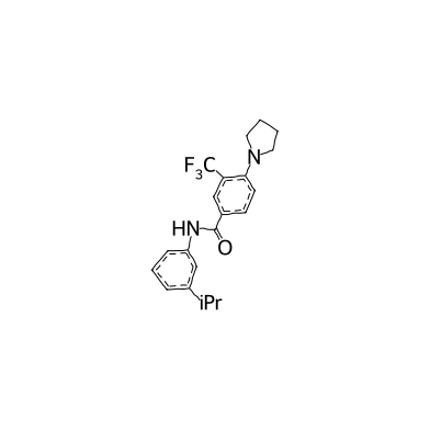 CC(C)c1cccc(NC(=O)c2ccc(N3CCCC3)c(C(F)(F)F)c2)c1